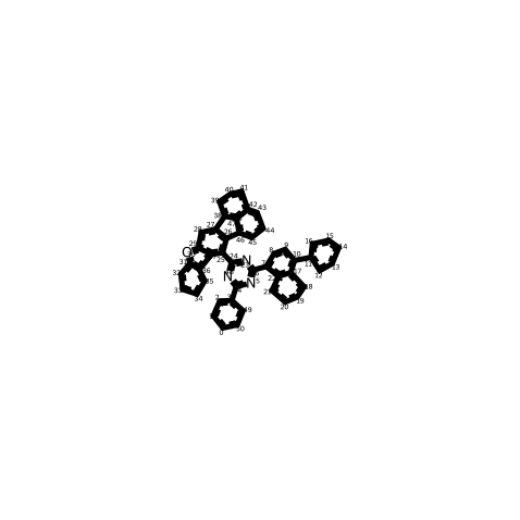 c1ccc(-c2nc(-c3ccc(-c4ccccc4)c4ccccc34)nc(-c3c4c(cc5oc6ccccc6c35)-c3cccc5cccc-4c35)n2)cc1